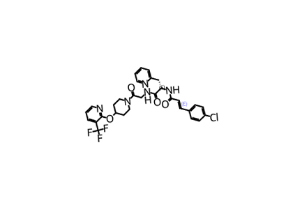 O=C(/C=C/c1ccc(Cl)cc1)N[C@@H](Cc1ccccn1)C(=O)NCC(=O)N1CCC(Oc2ncccc2C(F)(F)F)CC1